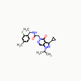 Cc1ccc([C@H](C)NC(=O)Cn2ncc3c(c(C4CC4)nn3C(C)C)c2=O)c(F)c1